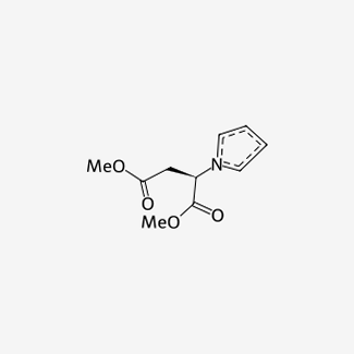 COC(=O)C[C@H](C(=O)OC)n1cccc1